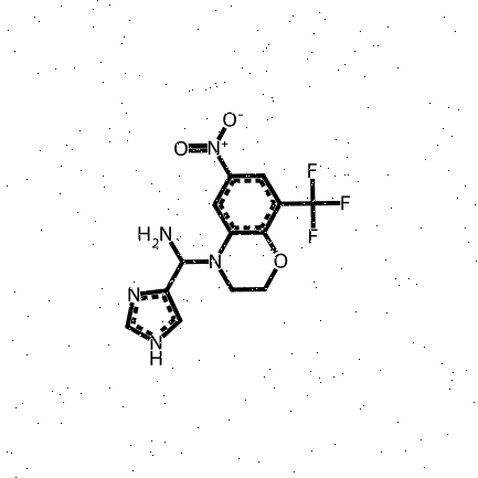 NC(c1c[nH]cn1)N1CCOc2c1cc([N+](=O)[O-])cc2C(F)(F)F